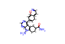 NC(=O)C1CCc2c(c3c(C4=CCC5=CC=NOC5=C4)ncnc3n2N)C1